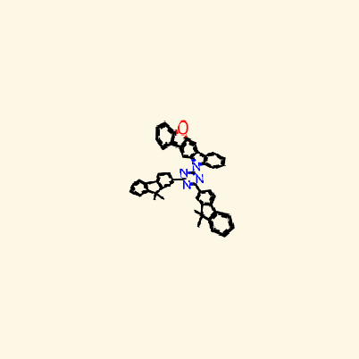 CC1(C)c2ccccc2-c2ccc(-c3nc(-c4ccc5c(c4)C(C)(C)c4ccccc4-5)nc(-n4c5ccccc5c5cc6oc7ccccc7c6cc54)n3)cc21